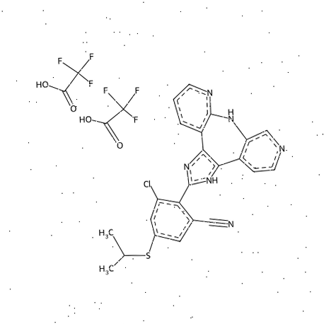 CC(C)Sc1cc(Cl)c(-c2nc3c([nH]2)-c2ccncc2Nc2ncccc2-3)c(C#N)c1.O=C(O)C(F)(F)F.O=C(O)C(F)(F)F